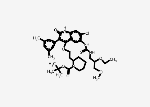 CCOC(CNC(=S)Nc1cc2c(OCCC3CCCCN3C(=O)OC(C)(C)C)c(-c3cc(C)cc(C)c3)c(=O)[nH]c2cc1Cl)COC